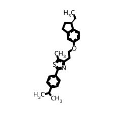 CC[C@@H]1CCc2cc(OCCc3nc(-c4ccc(C(C)C)cc4)sc3C)ccc21